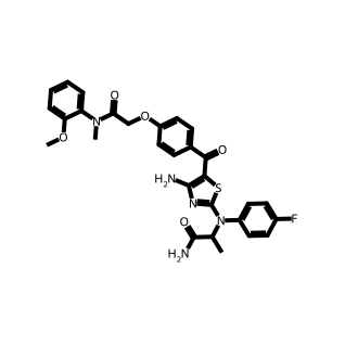 COc1ccccc1N(C)C(=O)COc1ccc(C(=O)c2sc(N(c3ccc(F)cc3)C(C)C(N)=O)nc2N)cc1